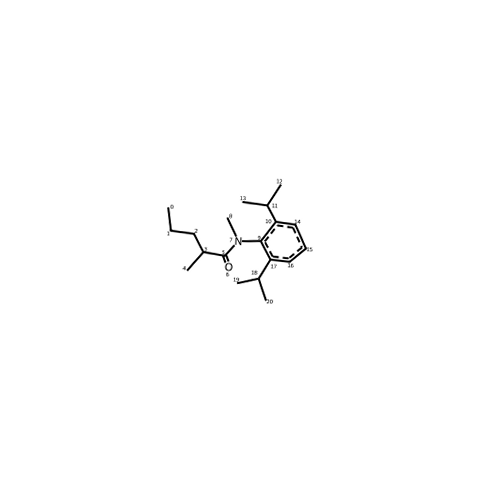 CCCC(C)C(=O)N(C)c1c(C(C)C)cccc1C(C)C